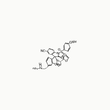 CCCNCc1ccc(C2(N3CCCC3c3ncco3)C(=O)N(S(=O)(=O)c3ccc(OC)cc3)c3ccc(C#N)cc32)c(OC)c1